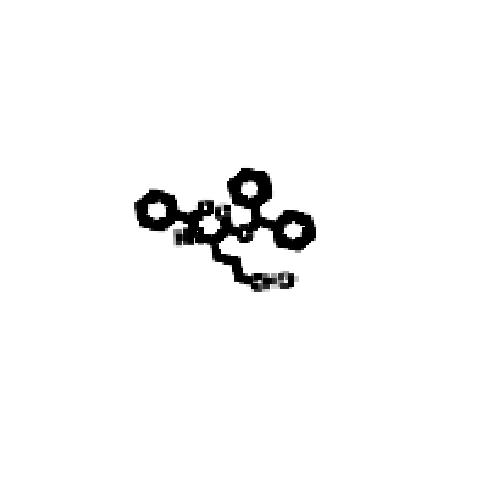 O=[C]CCC[C@@H](NC(=O)c1ccccc1)C(=O)OC(c1ccccc1)c1ccccc1